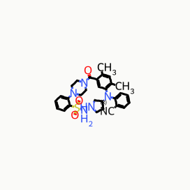 Cc1cc(C)c(N(c2ccccc2C#N)[C@@H]2CCNC2)cc1C(=O)N1CCN(c2ccccc2S(N)(=O)=O)CC1